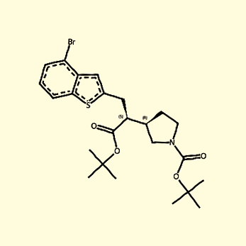 CC(C)(C)OC(=O)[C@@H](Cc1cc2c(Br)cccc2s1)[C@H]1CCN(C(=O)OC(C)(C)C)C1